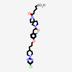 O=C(CCCCS(=O)(=O)O)N1CCC2(CCN(C(=O)Cc3ccc(OCCCC4CCN(c5ncc(Cl)cn5)CC4)cc3F)C2)C1